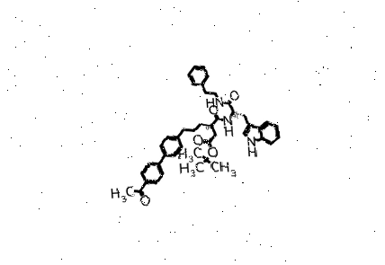 CC(=O)c1ccc(-c2ccc(CCC[C@H](CC(=O)OC(C)(C)C)C(=O)N[C@@H](Cc3c[nH]c4ccccc34)C(=O)NCCc3ccccc3)cc2)cc1